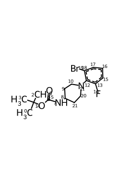 CC(C)(C)OC(=O)NC1CCN(c2c(F)cccc2Br)CC1